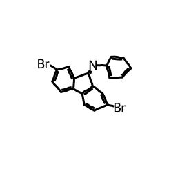 Brc1ccc2c(c1)C(=Nc1ccccc1)c1cc(Br)ccc1-2